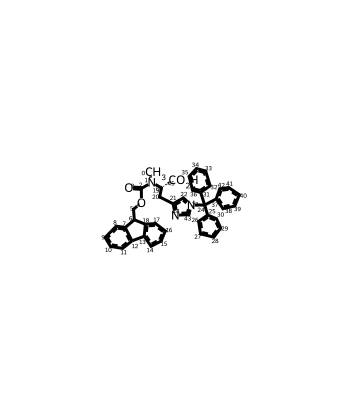 CN(C(=O)OCC1c2ccccc2-c2ccccc21)[C@@H](Cc1cn(C(c2ccccc2)(c2ccccc2)c2ccccc2)cn1)C(=O)O